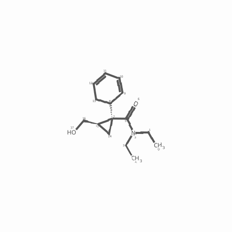 CCN(CC)C(=O)[C@@]1(C2C=CC=CC2)C[C@H]1CO